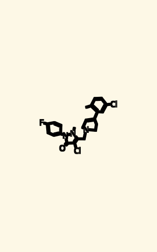 Cc1ccc(Cl)cc1C1=CCN(Cc2c(Cl)c(=O)n(-c3ccc(F)cc3)n2C)CC1